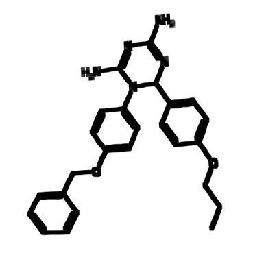 CCCOc1ccc(C2N=C(N)N=C(N)N2c2ccc(OCc3ccccc3)cc2)cc1